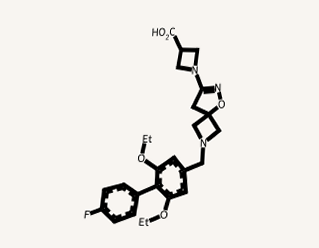 CCOc1cc(CN2CC3(CC(N4CC(C(=O)O)C4)=NO3)C2)cc(OCC)c1-c1ccc(F)cc1